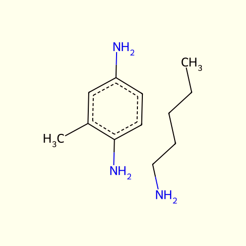 CCCCCN.Cc1cc(N)ccc1N